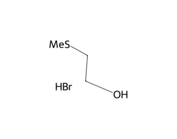 Br.CSCCO